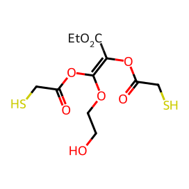 CCOC(=O)C(OC(=O)CS)=C(OCCO)OC(=O)CS